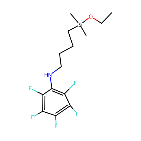 CCO[Si](C)(C)CCCCNc1c(F)c(F)c(F)c(F)c1F